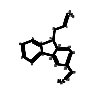 C=CCn1c2ccccc2c2cc(C=C)ccc21